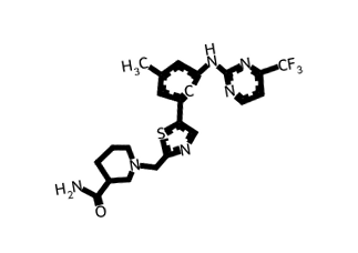 Cc1cc(Nc2nccc(C(F)(F)F)n2)cc(-c2cnc(CN3CCCC(C(N)=O)C3)s2)c1